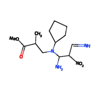 COC(=O)C(C)CN(C1CCCC1)C(N)C(C=N)[N+](=O)[O-]